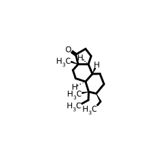 CC[C@@H]1CC[C@@H]2[C@H](CC[C@]3(C)C(=O)CC[C@@H]23)[C@@]1(C)CC